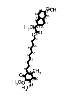 COC1=C(OC)C(=O)C(CCCCCCCCCCOC(=O)[C@@H](C)c2ccc3cc(OC)ccc3c2)=C(C)C1=O